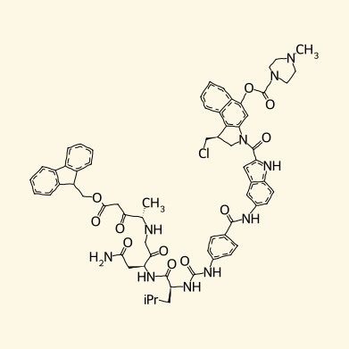 CC(C)C[C@H](NC(=O)Nc1ccc(C(=O)Nc2ccc3[nH]c(C(=O)N4C[C@@H](CCl)c5c4cc(OC(=O)N4CCN(C)CC4)c4ccccc54)cc3c2)cc1)C(=O)N[C@@H](CC(N)=O)C(=O)CN[C@@H](C)C(=O)CC(=O)OCC1c2ccccc2-c2ccccc21